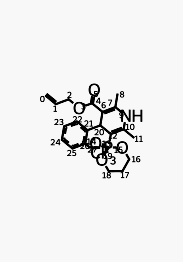 C=CCOC(=O)C1=C(C)NC(C)=C(P2(=O)OCCCO2)C1c1ccccc1C(F)(F)F